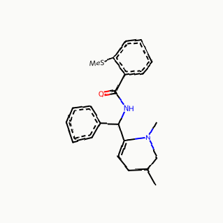 CSc1ccccc1C(=O)NC(C1=CCC(C)CN1C)c1ccccc1